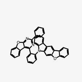 c1ccc(-c2nc(-c3ccccc3-n3c4ccccc4c4cc5c(cc43)oc3ccccc35)c3c(n2)oc2ccccc23)cc1